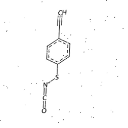 C#Cc1ccc(SN=C=O)cc1